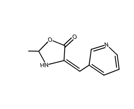 CC1N/C(=C/c2cccnc2)C(=O)O1